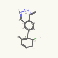 C=Cc1ccc(C2=C(C)C=CCC2F)cc1/C=N\N